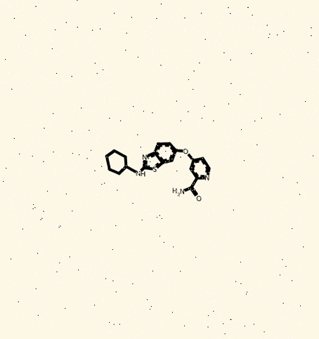 NC(=O)c1cc(Oc2ccc3nc(NC4CCCCC4)sc3c2)ccn1